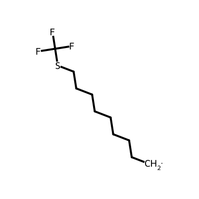 [CH2]CCCCCCCCSC(F)(F)F